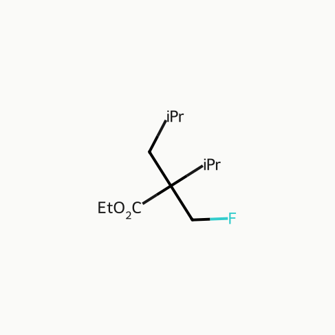 CCOC(=O)C(CF)(CC(C)C)C(C)C